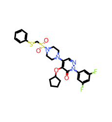 O=c1c(OC2CCCC2)c(N2CCN(S(=O)(=O)CSc3ccccc3)CC2)cnn1-c1cc(F)cc(F)c1